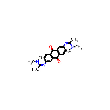 CC(=Nc1ccc2c(c1)C(=O)c1ccc(N=C(C)N(C)C)cc1C2=O)N(C)C